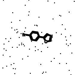 Brc1ccc(-c2cn[c]o2)cc1